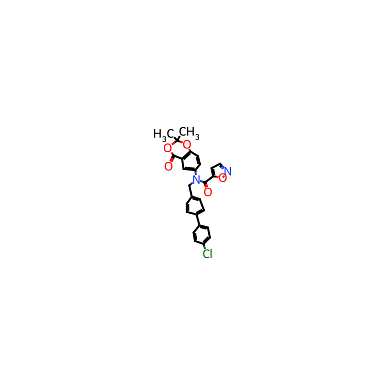 CC1(C)OC(=O)c2cc(N(Cc3ccc(-c4ccc(Cl)cc4)cc3)C(=O)c3ccno3)ccc2O1